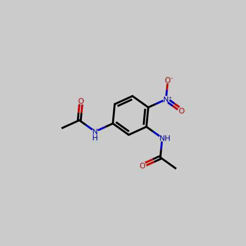 CC(=O)Nc1ccc([N+](=O)[O-])c(NC(C)=O)c1